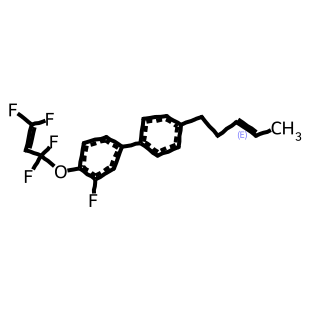 C/C=C/CCc1ccc(-c2ccc(OC(F)(F)C=C(F)F)c(F)c2)cc1